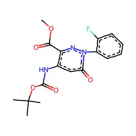 COC(=O)c1nn(-c2ccccc2F)c(=O)cc1NC(=O)OC(C)(C)C